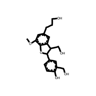 COc1cc(CCCO)cc2c1OC(c1ccc(O)c(CO)c1)C2CO